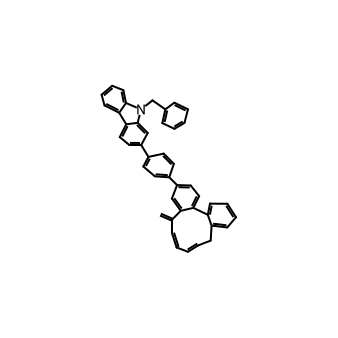 C=C1/C=C\C=C/Cc2ccccc2-c2ccc(-c3ccc(-c4ccc5c6ccccc6n(Cc6ccccc6)c5c4)cc3)cc21